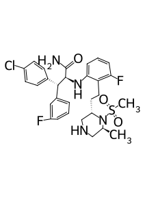 C[C@H]1CNC[C@H](CCc2c(F)cccc2N[C@H](C(N)=O)[C@@H](c2ccc(Cl)cc2)c2cccc(F)c2)N1S(C)(=O)=O